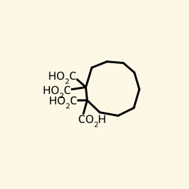 O=C(O)C1(C(=O)O)CCCCCCCCC1(C(=O)O)C(=O)O